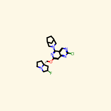 F[C@H]1CN2CCC[C@@]2(COc2cc3nc(Cl)ncc3c(N3CC4CCC(C4)C3)n2)C1